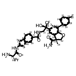 CC(C)[C@H](N)C(=O)Nc1nc2ccc(C(=O)NCC(O)(c3cc4c(c(-c5ccc(F)cc5)n3)OC[C@]4(C)C(N)=O)C(F)(F)F)cc2s1